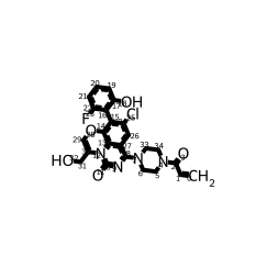 C=CC(=O)N1CCN(c2nc(=O)n3c4c(c(-c5c(O)cccc5F)c(Cl)cc24)OC=C3CO)CC1